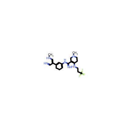 CN/C=C(\C=N)C1=CC(NC(=N)C2=C(NCCC(F)(F)F)CCN(C)C2)=CCC1